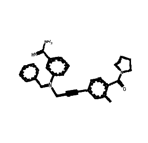 Cc1cc(C#CCN(Cc2ccccc2)c2cccc(C(=N)N)c2)ccc1C(=O)N1CCCC1